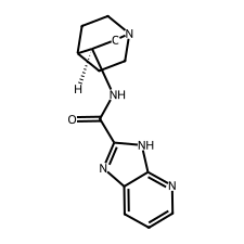 O=C(N[C@@H]1CN2CCC1CC2)c1nc2cccnc2[nH]1